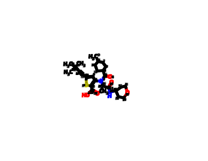 CC1CCC(C(=O)N(c2cc(C#CC(C)(C)C)sc2C(=O)O)[C@@H](C)C(=O)NC2CCOCC2)CC1